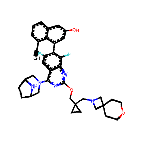 C#Cc1cccc2cc(O)cc(-c3c(F)cc4c(N5CC6CCC(C5)N6)nc(OCC5(CN6CC7(CCOCC7)C6)CC5)nc4c3F)c12